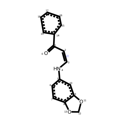 O=C(/C=C\Nc1ccc2c(c1)OCO2)c1ccccc1